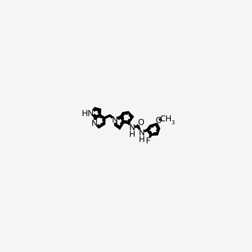 COc1ccc(F)c(NC(=O)Nc2cccc3c2ccn3Cc2ccnc3[nH]ccc23)c1